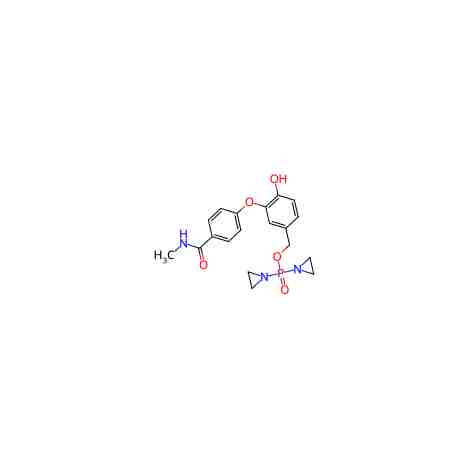 CNC(=O)c1ccc(Oc2cc(COP(=O)(N3CC3)N3CC3)ccc2O)cc1